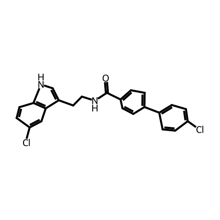 O=C(NCCc1c[nH]c2ccc(Cl)cc12)c1ccc(-c2ccc(Cl)cc2)cc1